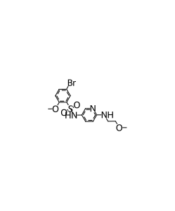 COCCNc1ccc(NS(=O)(=O)c2cc(Br)ccc2OC)cn1